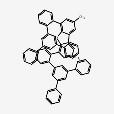 Cc1cc(-c2ccccc2-c2cc(-c3ccccc3)cc(-c3ccccc3)c2)c2oc3c(-c4ccccc4-c4cc(-c5ccccc5)cc(-c5ccccc5)c4)cc(C)cc3c2c1